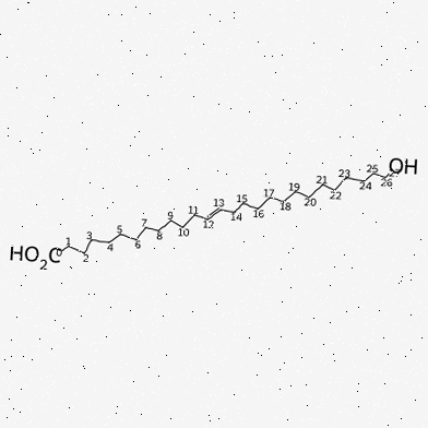 O=C(O)CCCCCCCCCCCC=CCCCCCCCCCCCCCO